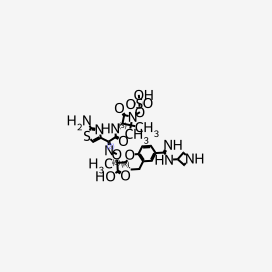 CC1(C)[C@H](NC(=O)/C(=N\O[C@](C)(C(=O)O)[C@H]2CCc3cc(C(=N)NC4CNC4)ccc3O2)c2csc(N)n2)C(=O)N1OS(=O)(=O)O